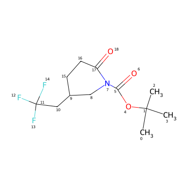 CC(C)(C)OC(=O)N1CC(CC(F)(F)F)CCC1=O